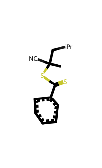 CC(C)CC(C)(C#N)SC(=S)c1ccccc1